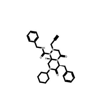 C#CCN1CC(=O)N2[C@@H](Cc3ccccc3)C(=O)N(C3CCCCC3)C[C@@H]2N1C(=O)NCc1ccccc1